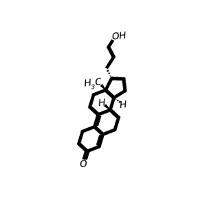 C[C@]12CCC3=C4CCC(=O)C=C4CC[C@H]3[C@@H]1CC[C@H]2CCCO